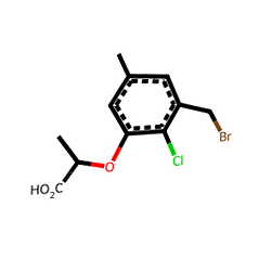 Cc1cc(CBr)c(Cl)c(OC(C)C(=O)O)c1